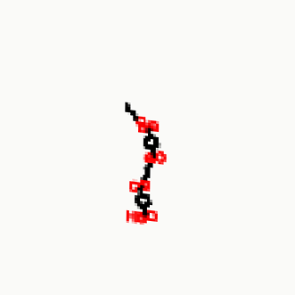 CCCCOOC(=O)c1ccc(C(=O)OCCCCOC(=O)c2ccc(C(=O)O)cc2)cc1